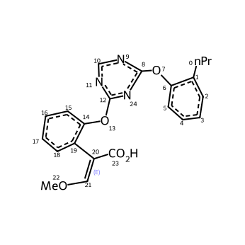 CCCc1ccccc1Oc1ncnc(Oc2ccccc2/C(=C\OC)C(=O)O)n1